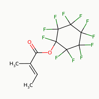 CC=C(C)C(=O)OC1(F)C(F)(F)C(F)(F)C(F)(F)C(F)(F)C1(F)F